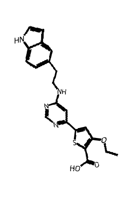 CCOc1cc(-c2cc(NCCc3ccc4[nH]ccc4c3)ncn2)sc1C(=O)O